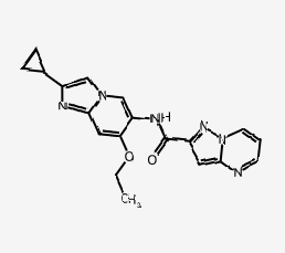 CCOc1cc2nc(C3CC3)cn2cc1NC(=O)c1cc2ncccn2n1